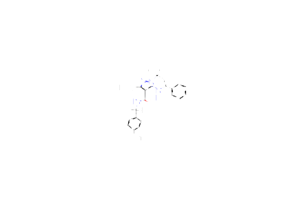 CCC(CC)(NC(=O)c1c(C)nn2c1NC(c1ccccc1)CC2(C)C)c1ccc(C(C)C)cc1